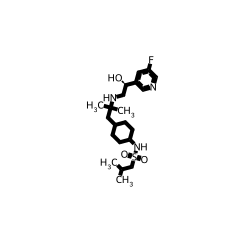 CC(C)CS(=O)(=O)NC1CCC(CC(C)(C)NC[C@H](O)c2cncc(F)c2)CC1